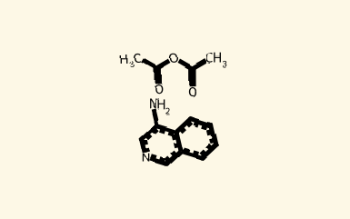 CC(=O)OC(C)=O.Nc1cncc2ccccc12